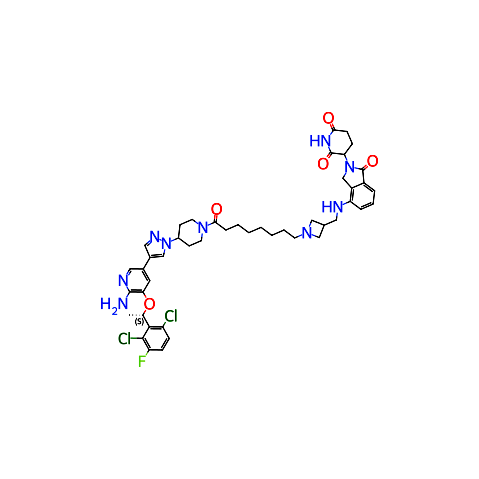 C[C@H](Oc1cc(-c2cnn(C3CCN(C(=O)CCCCCCCN4CC(CNc5cccc6c5CN(C5CCC(=O)NC5=O)C6=O)C4)CC3)c2)cnc1N)c1c(Cl)ccc(F)c1Cl